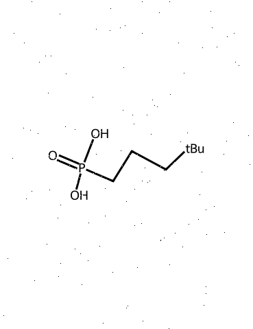 CC(C)(C)CCCP(=O)(O)O